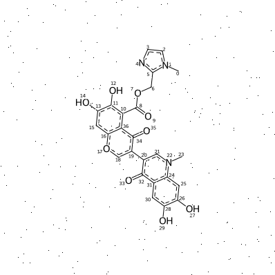 Cn1ccnc1COC(=O)c1c(O)c(O)cc2occ(-c3cn(C)c4cc(O)c(O)cc4c3=O)c(=O)c12